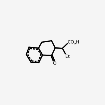 CCC(C(=O)O)C1CCc2ccccc2C1=O